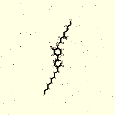 CCCCCCCCCc1cnc(-c2ccc(OCCC(F)CCCCC)c(F)c2)nc1